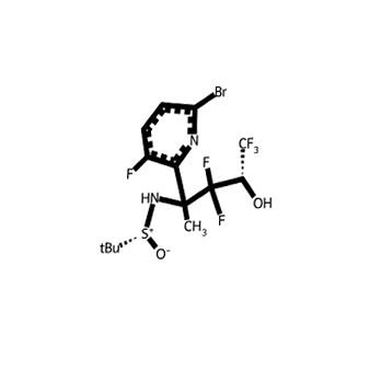 CC(C)(C)[S@@+]([O-])NC(C)(c1nc(Br)ccc1F)C(F)(F)[C@@H](O)C(F)(F)F